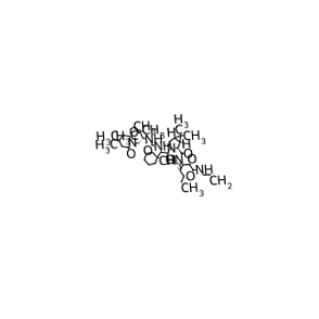 C=CCNC(=O)C(=O)C(CCCC)NC(=O)[C@@H]1[C@@H]2[C@H](CN1C(=O)[C@@H](NC(=O)N[C@H](CN1C(=O)CC(C)(C)CC1=O)C(C)(C)C)C1(C)CCCCC1)C2(C)C